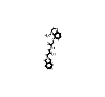 CN1CCOc2cccc(OCC(=O)NCC(O)CN3Cc4ccccc4C3)c21